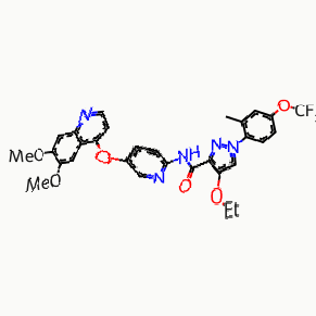 CCOc1cn(-c2ccc(OC(F)(F)F)cc2C)nc1C(=O)Nc1ccc(Oc2ccnc3cc(OC)c(OC)cc23)cn1